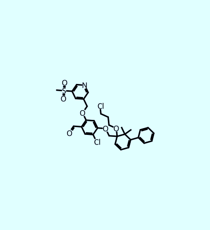 CC1(C)C(c2ccccc2)=CC=CC1(COc1cc(OCc2cncc(S(C)(=O)=O)c2)c(C=O)cc1Cl)OCCCCl